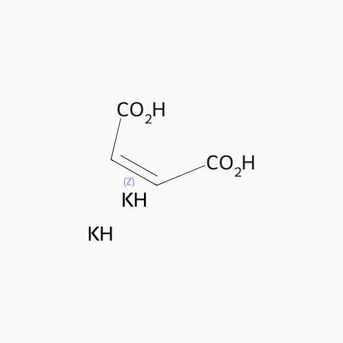 O=C(O)/C=C\C(=O)O.[KH].[KH]